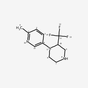 Cc1ccc(N2CCNCC2C(F)(F)F)cn1